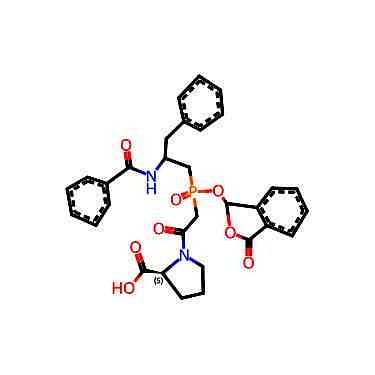 O=C(NC(Cc1ccccc1)CP(=O)(CC(=O)N1CCC[C@H]1C(=O)O)OC1OC(=O)c2ccccc21)c1ccccc1